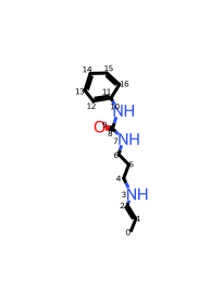 CC=CNCCCNC(=O)Nc1ccccc1